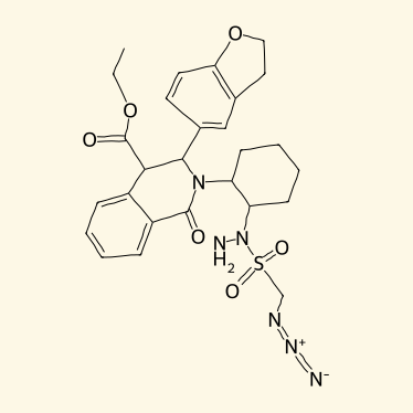 CCOC(=O)C1c2ccccc2C(=O)N(C2CCCCC2N(N)S(=O)(=O)CN=[N+]=[N-])C1c1ccc2c(c1)CCO2